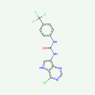 O=C(Nc1ccc(C(F)(F)F)cc1)Nc1c[nH]c2c(Cl)ncnc12